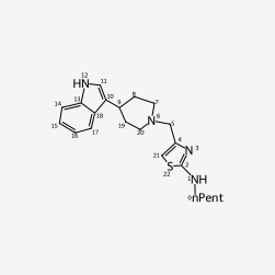 CCCCCNc1nc(CN2CCC(c3c[nH]c4ccccc34)CC2)cs1